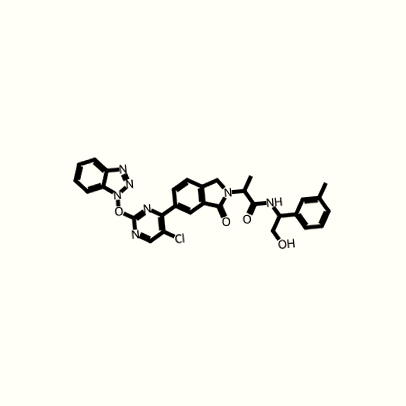 Cc1cccc(C(CO)NC(=O)C(C)N2Cc3ccc(-c4nc(On5nnc6ccccc65)ncc4Cl)cc3C2=O)c1